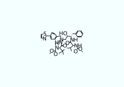 COC(=O)N[C@H](C(=O)N[C@@H](Cc1ccccc1)[C@@H](O)CN(Cc1ccc(-c2nccs2)cc1)NC(=O)[C@@H](NC(=O)OC)C(C)(C)C)C(C)C